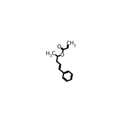 C=CC(=O)OC(C)CC=Cc1ccccc1